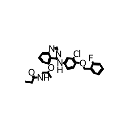 CCC(=O)NCC(C)Oc1cccc2ncnc(Nc3ccc(OCc4ccccc4F)c(Cl)c3)c12